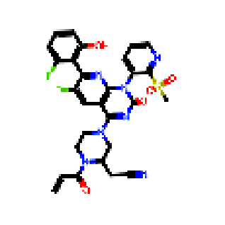 C=CC(=O)N1CCN(c2nc(=O)n(-c3cccnc3S(C)(=O)=O)c3nc(-c4c(O)cccc4F)c(F)cc23)CC1CC#N